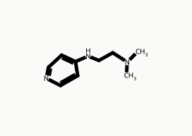 CN(C)CCNc1c[c]ncc1